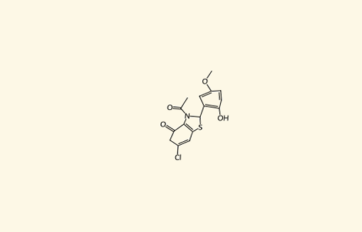 COc1ccc(O)c(C2SC3=C(C(=O)CC(Cl)=C3)N2C(C)=O)c1